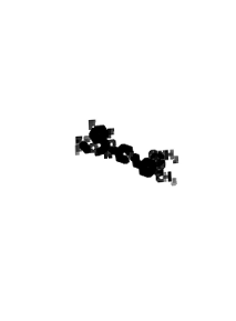 COc1ccc(CCN2CCC(c3nc(COCC(F)(F)F)c(-c4ccc(F)cc4F)o3)CC2)cc1S(N)(=O)=O